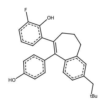 CC(C)(C)Cc1ccc2c(c1)CCCC(c1cccc(F)c1O)=C2c1ccc(O)cc1